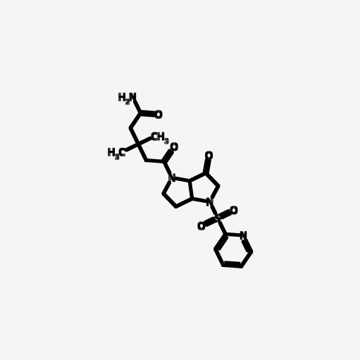 CC(C)(CC(N)=O)CC(=O)N1CCC2C1C(=O)CN2S(=O)(=O)c1ccccn1